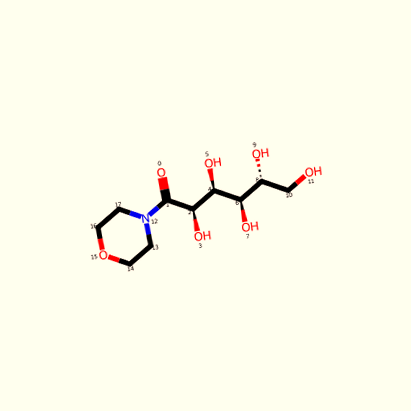 O=C([C@H](O)[C@@H](O)[C@H](O)[C@H](O)CO)N1CCOCC1